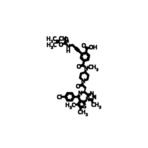 Cc1sc2c(c1C)C(c1ccc(Cl)cc1)=N[C@@H](CC(=O)N1CCC(N(C)C(=O)c3ccc(C(=O)O)c(C#CCNC(=O)OC(C)(C)C)c3)CC1)c1nnc(C)n1-2